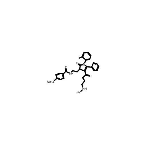 CCCNCCCC(=O)C1=C(c2ccccc2)N(c2ccccc2C)C(=O)C1CCNC(=O)c1ccc(OC)cc1